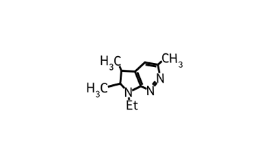 CCN1c2nnc(C)cc2C(C)C1C